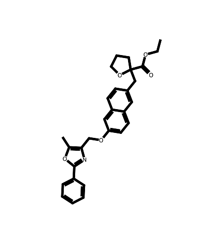 CCOC(=O)C1(Cc2ccc3cc(OCc4nc(-c5ccccc5)oc4C)ccc3c2)CCCO1